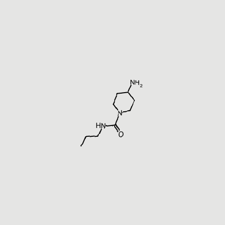 CCCNC(=O)N1CCC(N)CC1